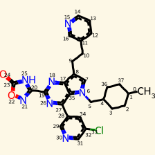 CC1CCC(Cn2cc(CCc3cccnc3)c3nc(-c4noc(=O)[nH]4)nc(-c4cncc(Cl)c4)c32)CC1